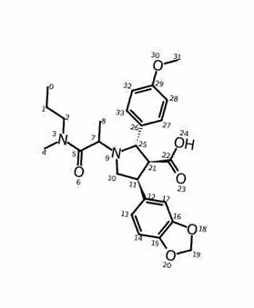 CCCN(C)C(=O)C(C)N1C[C@H](c2ccc3c(c2)OCO3)[C@H](C(=O)O)[C@H]1c1ccc(OC)cc1